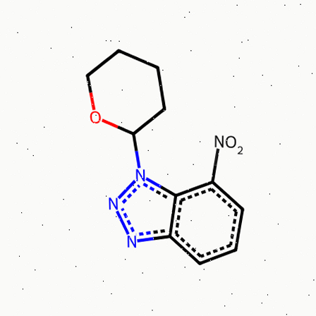 O=[N+]([O-])c1cccc2nnn(C3CCCCO3)c12